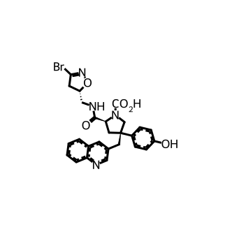 O=C(NC[C@@H]1CC(Br)=NO1)[C@@H]1C[C@@](Cc2cnc3ccccc3c2)(c2ccc(O)cc2)CN1C(=O)O